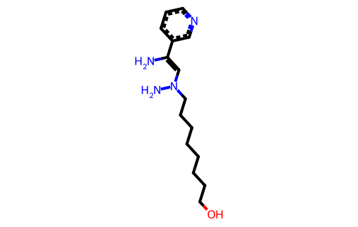 N/C(=C\N(N)CCCCCCCCO)c1cccnc1